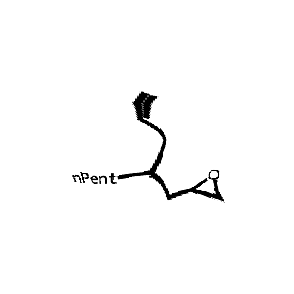 C=CC[C](CCCCC)CC1CO1